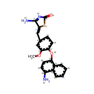 COc1cc(/C=C2\SC(=O)N=C2N)ccc1Oc1ccc(N)c2ccccc12